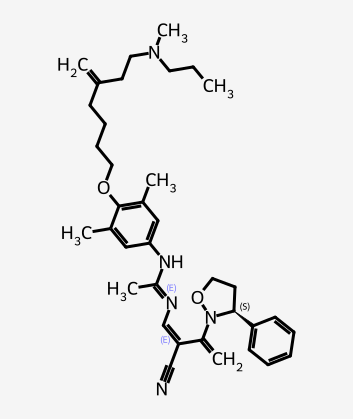 C=C(CCCCOc1c(C)cc(N/C(C)=N/C=C(/C#N)C(=C)N2OCC[C@H]2c2ccccc2)cc1C)CCN(C)CCC